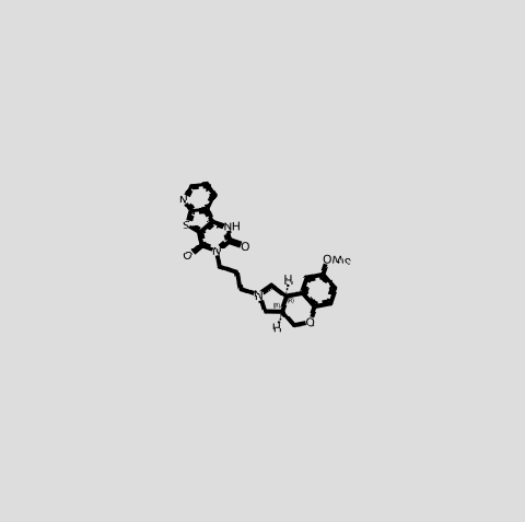 COc1ccc2c(c1)[C@@H]1CN(CCCn3c(=O)[nH]c4c(sc5ncccc54)c3=O)C[C@@H]1CO2